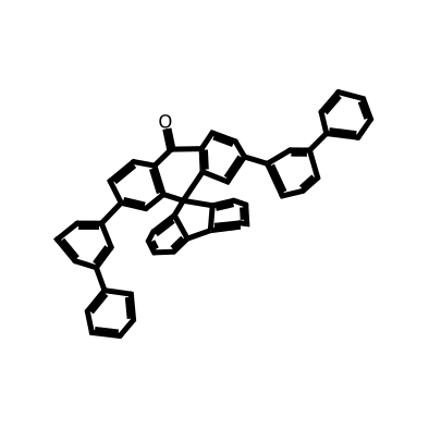 O=C1c2ccc(-c3cccc(-c4ccccc4)c3)cc2C2(c3cc(-c4cccc(-c5ccccc5)c4)ccc31)c1ccccc1-c1ccccc12